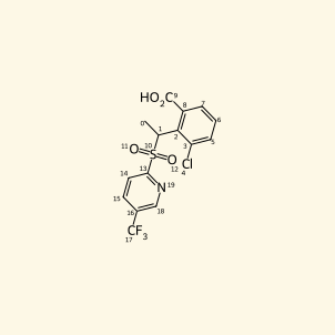 CC(c1c(Cl)cccc1C(=O)O)S(=O)(=O)c1ccc(C(F)(F)F)cn1